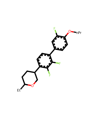 CCCOc1ccc(-c2ccc(C3CCC(CC)OC3)c(F)c2F)cc1F